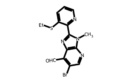 CCSc1cccnc1-c1nc2c(C=O)c(Br)cnc2n1C